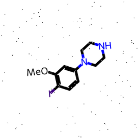 COc1cc(N2CCNCC2)ccc1I